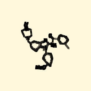 COc1cccc(-n2c(NC(=O)c3cccc(C)c3)nc3cc(CN4CCNCC4)ccc32)c1